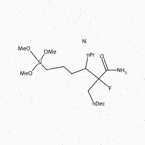 CCCCCCCCCCCC(F)(C(N)=O)C(CCC)CCC[Si](OC)(OC)OC.[N]